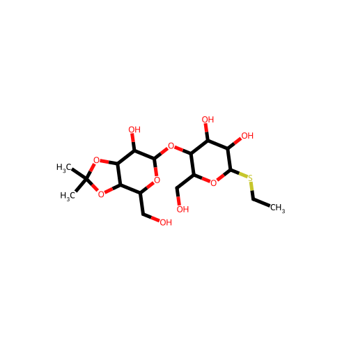 CCSC1OC(CO)C(OC2OC(CO)C3OC(C)(C)OC3C2O)C(O)C1O